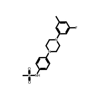 Cc1cc(F)cc(N2CCN(c3ccc(NS(C)(=O)=O)cc3)CC2)c1